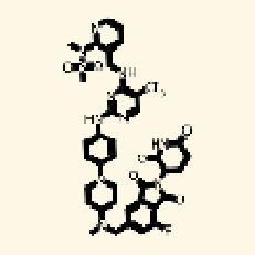 CN(Cc1cc(F)c2c(c1)C(=O)N(C1CCC(=O)NC1=O)C2=O)C1CCN(c2ccc(Nc3ncc(C(F)(F)F)c(NCc4cccnc4N(C)S(C)(=O)=O)n3)cc2)CC1